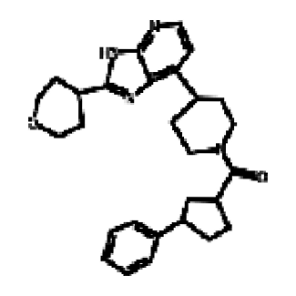 O=C(C1CCC(c2ccccc2)C1)N1CCC(c2ccnc3[nH]c(C4CCOCC4)nc23)CC1